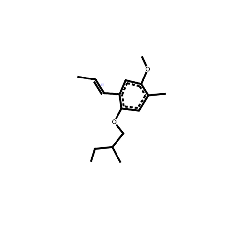 C/C=C/c1cc(OC)c(C)cc1OCC(C)CC